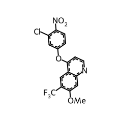 COc1cc2nccc(Oc3ccc([N+](=O)[O-])c(Cl)c3)c2cc1C(F)(F)F